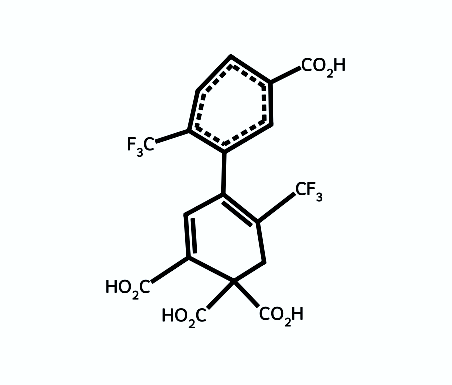 O=C(O)C1=CC(c2cc(C(=O)O)ccc2C(F)(F)F)=C(C(F)(F)F)CC1(C(=O)O)C(=O)O